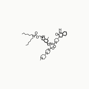 CCCCCCN(CCCCCC)C(=O)OCn1cc2cc(C[C@@H](NC(=O)N3CCC(c4cc5ccccc5[nH]c4=O)CC3)C(=O)N3CCN(C4CCN(C)CC4)CC3)cc(C)c2n1